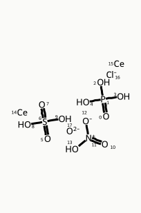 O=P(O)(O)O.O=S(=O)(O)O.O=[N+]([O-])O.[Ce].[Ce].[Cl-].[O-2]